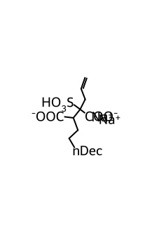 C=CCC(C(=O)[O-])(C(CCCCCCCCCCCC)C(=O)[O-])S(=O)(=O)O.[Na+].[Na+]